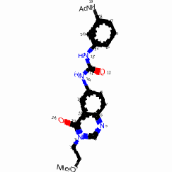 COCCn1cnc2ccc(NC(=O)Nc3cccc(NC(C)=O)c3)cc2c1=O